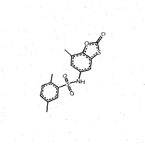 Cc1ccc(C)c(S(=O)(=O)Nc2cc(C)c3oc(=O)sc3c2)c1